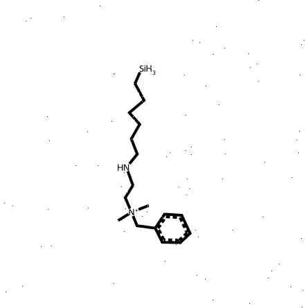 C[N+](C)(CCNCCCCCC[SiH3])Cc1ccccc1